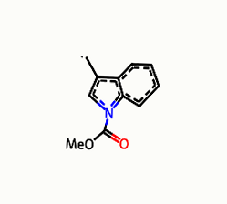 [CH2]c1cn(C(=O)OC)c2ccccc12